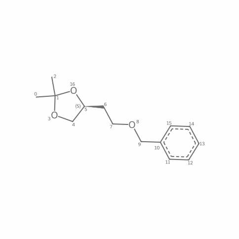 CC1(C)OC[C@H](CCOCc2ccccc2)O1